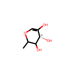 CC1OC=C(O)[C@H](O)C1O